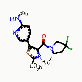 C[C@H]1CC(F)(F)CN1C(=O)c1nc(C(=O)O)sc1-c1ccc(NC(C)(C)C)nc1